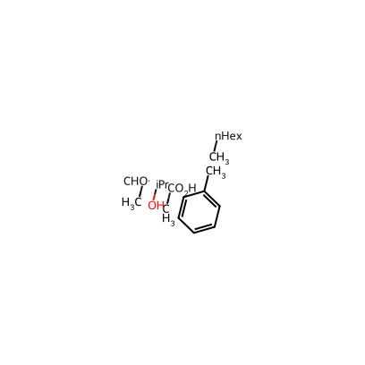 CC(=O)O.CC(C)O.CCCCCCC.C[C]=O.Cc1ccccc1